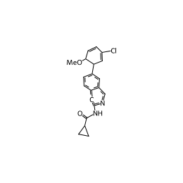 COC1C=CC(Cl)=CC1c1ccc2cc(NC(=O)C3CC3)ncc2c1